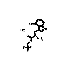 Cl.N[C@@H](Cc1c[nH]c2cccc(Cl)c12)C(=O)OCC(F)(F)F